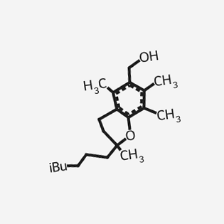 CCC(C)CCCC1(C)CCc2c(C)c(CO)c(C)c(C)c2O1